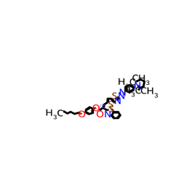 CCCCCCOc1ccc(OC(=O)/C(=C/c2cc3sc(/N=N/c4ccc(N5C(C)(C)CCCC5(C)C)cc4)nc3s2)c2nc3ccccc3s2)cc1